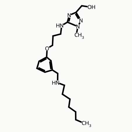 CCCCCCCNCc1cccc(OCCCNc2nc(CO)nn2C)c1